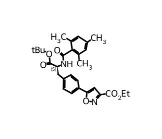 CCOC(=O)c1cc(-c2ccc(C[C@H](NC(=O)c3c(C)cc(C)cc3C)C(=O)OC(C)(C)C)cc2)on1